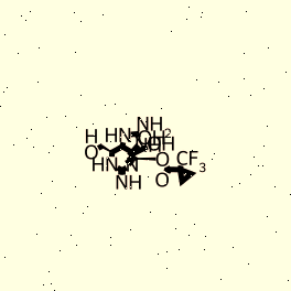 N=C1N[C@@H](CO)C2N[C@H](N)N[C@]23N1C[C@H](OC(=O)C1(C(F)(F)F)CC1)C3(O)O